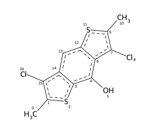 Cc1sc2c(O)c3c(Cl)c(C)sc3cc2c1Cl